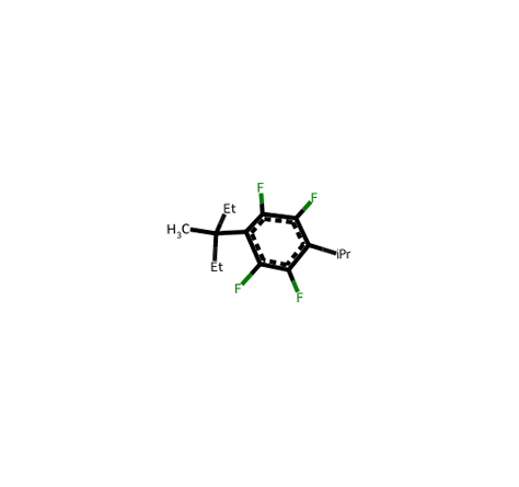 CCC(C)(CC)c1c(F)c(F)c(C(C)C)c(F)c1F